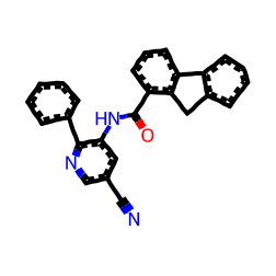 N#Cc1cnc(-c2ccccc2)c(NC(=O)c2cccc3c2Cc2ccccc2-3)c1